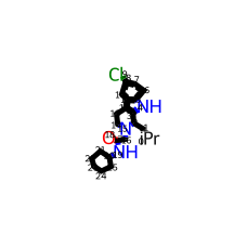 CC(C)CC1c2[nH]c3ccc(Cl)cc3c2CCN1CC(=O)NC1CCCCC1